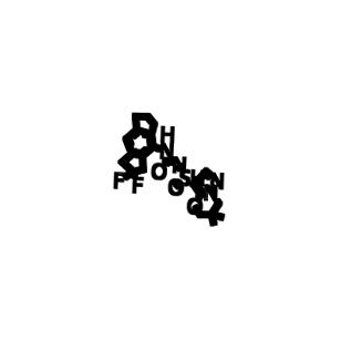 CC1(C)COc2c([SH](=O)=NC(=O)Nc3c4c(cc5c3CC(F)(F)C5)CCC4)cnn2C1